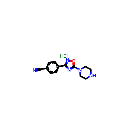 Cl.N#Cc1ccc(-c2noc(N3CCNCC3)n2)cc1